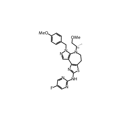 COC[C@H](C)N1CCc2sc(Nc3ncc(F)cn3)nc2-c2cnn(Cc3ccc(OC)cc3)c21